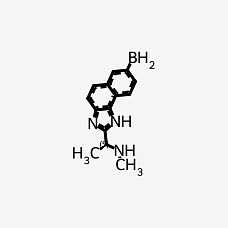 Bc1ccc2c(ccc3nc([C@H](C)NC)[nH]c32)c1